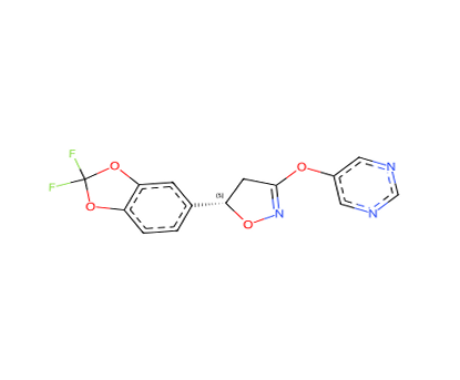 FC1(F)Oc2ccc([C@@H]3CC(Oc4cncnc4)=NO3)cc2O1